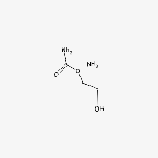 N.NC(=O)OCCO